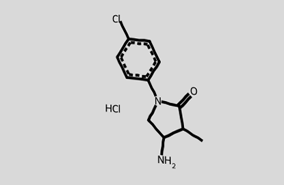 CC1C(=O)N(c2ccc(Cl)cc2)CC1N.Cl